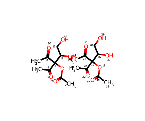 CC(=O)OC(C(C)=O)(C(C)=O)C(O)CO.CC(=O)OC(C(C)=O)(C(C)=O)C(O)CO